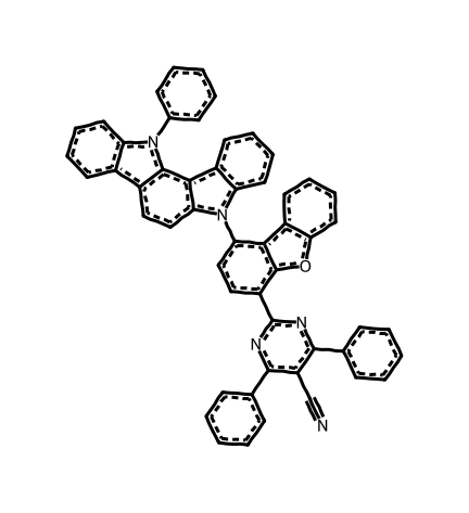 N#Cc1c(-c2ccccc2)nc(-c2ccc(-n3c4ccccc4c4c3ccc3c5ccccc5n(-c5ccccc5)c34)c3c2oc2ccccc23)nc1-c1ccccc1